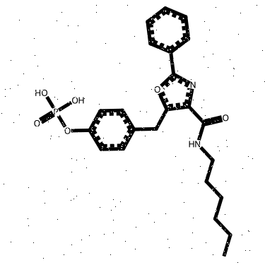 CCCCCCNC(=O)c1nc(-c2ccccc2)oc1Cc1ccc(OP(=O)(O)O)cc1